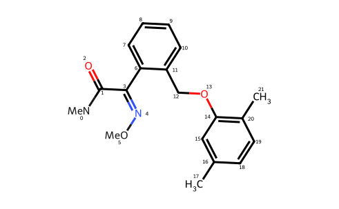 CNC(=O)C(=NOC)c1ccccc1COc1cc(C)ccc1C